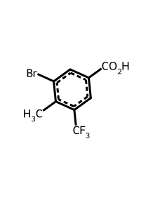 Cc1c(Br)cc(C(=O)O)cc1C(F)(F)F